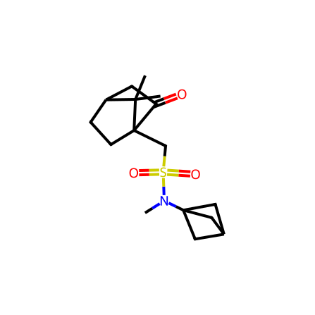 CN(C12CC(C1)C2)S(=O)(=O)CC12CCC(CC1=O)C2(C)C